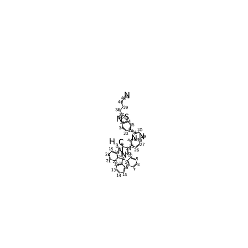 Cc1nn(C(c2ccccc2)(c2ccccc2)C2C=CC=CC2)cc1-c1ccc2ncc(-c3ccc4nc(CCCC#N)sc4c3)n2c1